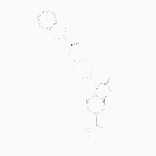 CNC(=O)c1ccc2c(c1)[nH]c(=O)n2C1CCN(CC(=O)N2Cc3ccccc3C2)CC1